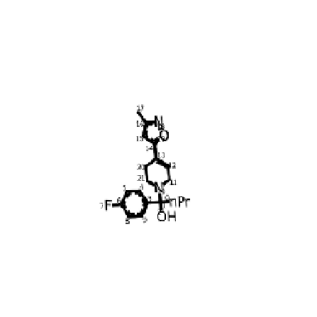 CCCC(O)(c1ccc(F)cc1)N1CC=C(c2cc(C)no2)CC1